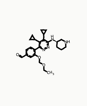 CCOCOc1cc(C=O)ccc1-c1nnc(N[C@@H]2CCCNC2)c(C2CC2)c1C1CC1